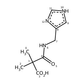 CC(C)(C(=O)O)C(=O)NCc1c[nH]cn1